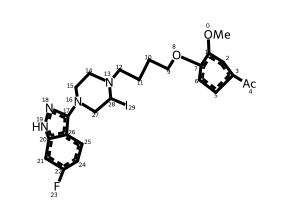 COc1cc(C(C)=O)ccc1OCCCCN1CCN(c2n[nH]c3cc(F)ccc23)CC1I